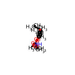 CCOC(=O)[C@H](COC(=O)OC1CC[C@]2(C)C(=CC[C@@H]3[C@H]4CC[C@@H]([C@@H](C)CCCC(C)C)[C@]4(C)CC[C@H]32)C1)NC(=O)OC(C)(C)C